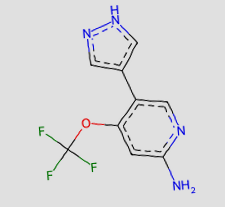 Nc1cc(OC(F)(F)F)c(-c2cn[nH]c2)cn1